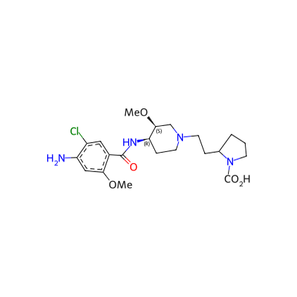 COc1cc(N)c(Cl)cc1C(=O)N[C@@H]1CCN(CCC2CCCN2C(=O)O)C[C@@H]1OC